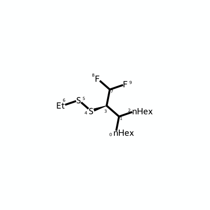 CCCCCCC(CCCCCC)[C@@H](SSCC)C(F)F